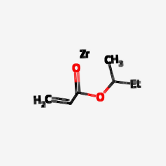 C=CC(=O)OC(C)CC.[Zr]